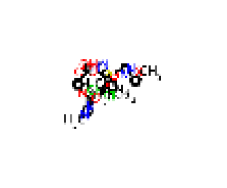 COc1ccccc1-c1nccc(COC2(C3=CCC(C)(C)CC3)SC3N=CN=C4O[C@@H](C(=O)O)Cc5cccc(c5)OC[C@@H](CN5CCN(C)CC5)Oc5c(Cl)c(C)c(c(C)c5Cl)C2=C43)n1